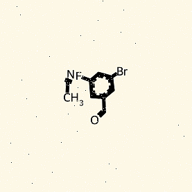 CC#N.O=Cc1cc(F)cc(Br)c1